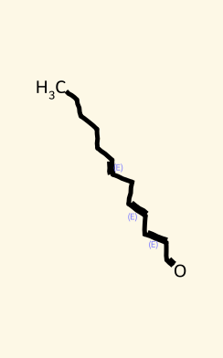 CCCCC/C=C/C/C=C/C=C/C=O